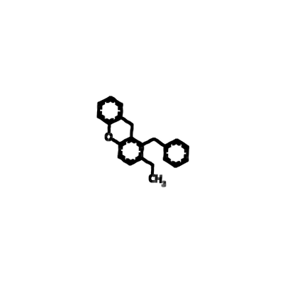 CCc1ccc2c(c1Cc1ccccc1)Cc1ccccc1O2